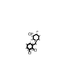 C[C@@H]1CCN(Cc2cccc(Cl)c2Cl)C[C@@H]1Cl